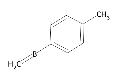 C=Bc1ccc(C)cc1